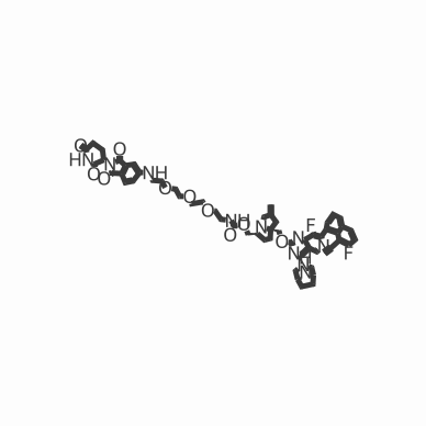 C#Cc1c(F)ccc2cccc(-c3ncc4c(N5CC6CCC(C5)N6)nc(OC[C@@]56CC[C@@H](COC(=O)NCCOCCOCCOCCNc7ccc8c(c7)C(=O)N(C7CCC(=O)NC7=O)C8=O)N5CC(=C)C6)nc4c3F)c12